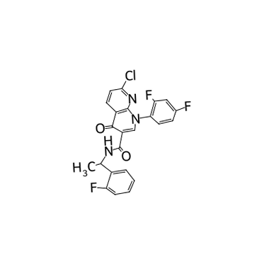 CC(NC(=O)c1cn(-c2ccc(F)cc2F)c2nc(Cl)ccc2c1=O)c1ccccc1F